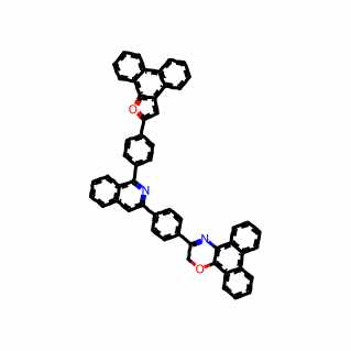 c1ccc2c(-c3ccc(-c4cc5c6ccccc6c6ccccc6c5o4)cc3)nc(-c3ccc(C4=Nc5c(c6ccccc6c6ccccc56)OC4)cc3)cc2c1